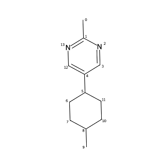 Cc1ncc(C2CCC(C)CC2)cn1